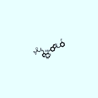 CN(CC(=O)N(C)C)Cc1ccn2ncnc(Nc3ccc4c(cnn4Cc4cccc(F)c4)c3)c12